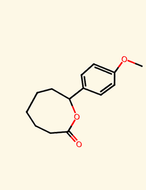 COc1ccc(C2CCCCCC(=O)O2)cc1